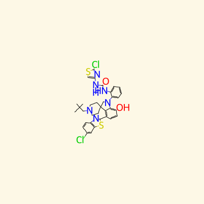 CC(C)(C)CN1CCC2(CC1)CN(c1ccccc1NC(=O)Nc1csc(Cl)n1)c1c(O)ccc(-c3nc4ccc(Cl)cc4s3)c12